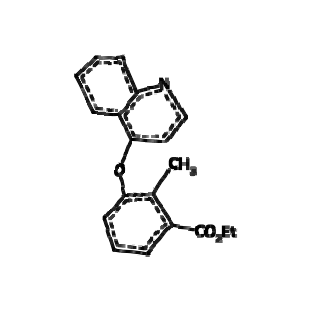 CCOC(=O)c1cccc(Oc2ccnc3ccccc23)c1C